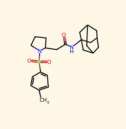 Cc1ccc(S(=O)(=O)N2CCCC2CC(=O)NC23CC4CC(CC(C4)C2)C3)cc1